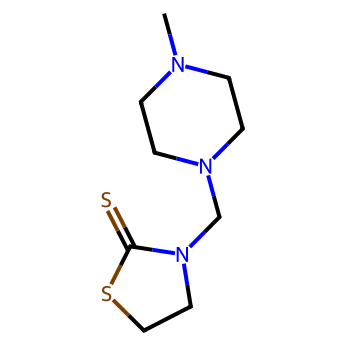 CN1CCN(CN2CCSC2=S)CC1